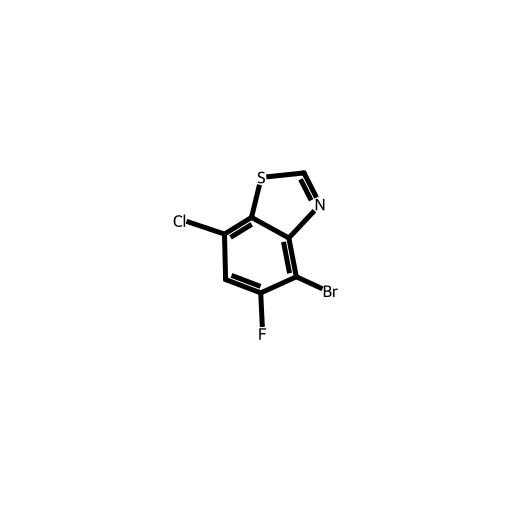 Fc1cc(Cl)c2scnc2c1Br